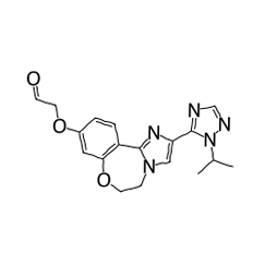 CC(C)n1ncnc1-c1cn2c(n1)-c1ccc(OCC=O)cc1OCC2